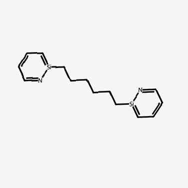 c1cc[si](CCCCCC[si]2ccccn2)nc1